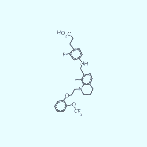 Cc1c(CNc2ccc(CCC(=O)O)c(F)c2)ccc2c1N(CCOc1ccccc1OC(F)(F)F)CCC2